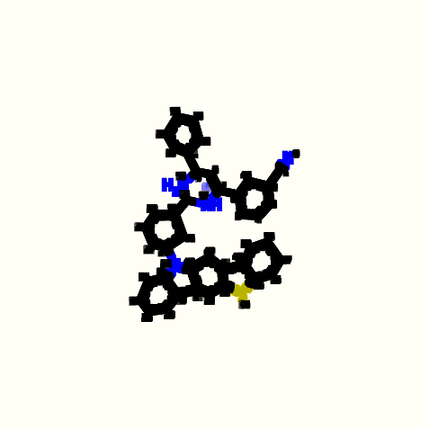 N#Cc1cccc(/C(=C/C(N)c2ccccc2)NCc2cccc(-n3c4ccccc4c4cc5sc6ccccc6c5cc43)c2)c1